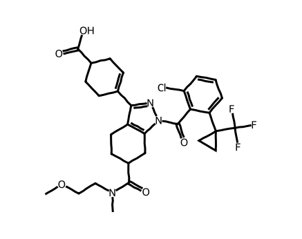 COCCN(C)C(=O)C1CCc2c(C3=CCC(C(=O)O)CC3)nn(C(=O)c3c(Cl)cccc3C3(C(F)(F)F)CC3)c2C1